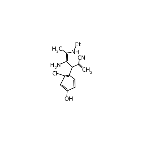 C=C(C#N)C(/C(N)=C(/C)NCC)c1ccc(O)cc1Cl